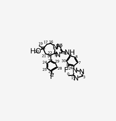 Cc1ncnn1-c1ccc(Nc2nc3n(n2)CC[C@@](C)(O)C[C@@H]3c2ccc(F)cc2)cc1F